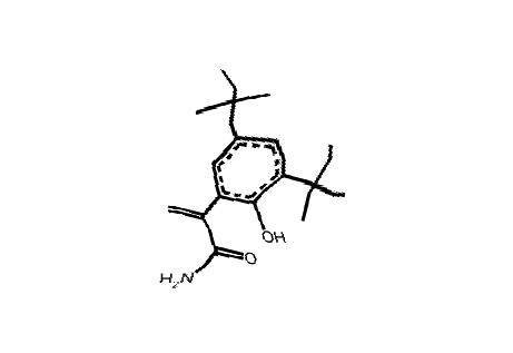 C=C(C(N)=O)c1cc(C(C)(C)C)cc(C(C)(C)C)c1O